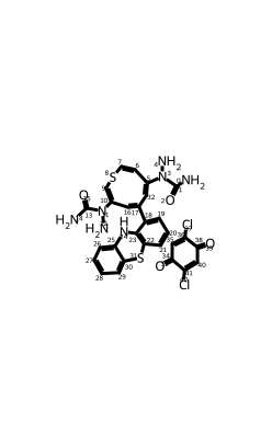 NC(=O)N(N)c1ccscc(N(N)C(N)=O)cc(-c2cccc3c2Nc2ccccc2S3)c1.O=C1C=C(Cl)C(=O)C=C1Cl